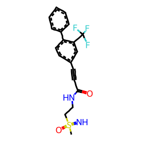 CS(=N)(=O)CCNC(=O)C#Cc1ccc(-c2ccccc2)c(C(F)(F)F)c1